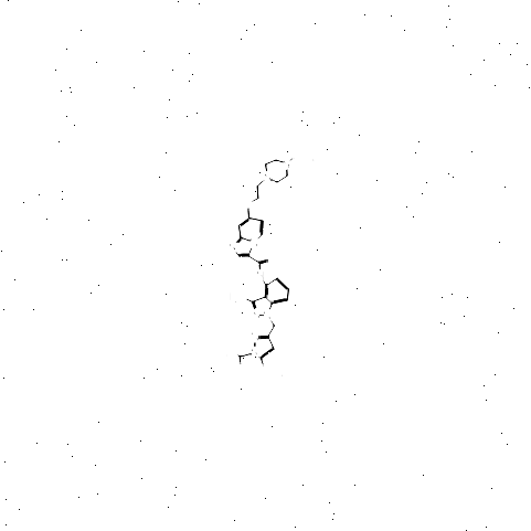 Cc1nn(Cc2cc(C)n(C(C)C)n2)c2cccc(NC(=O)c3cnc4cc(OCCN5CCN(C)CC5)ccn34)c12